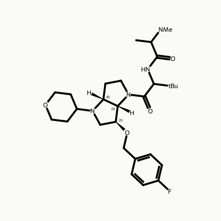 CNC(C)C(=O)NC(C(=O)N1CC[C@@H]2[C@H]1[C@@H](OCc1ccc(F)cc1)CN2C1CCOCC1)C(C)(C)C